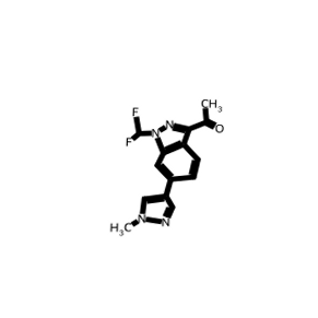 CC(=O)c1nn(C(F)F)c2cc(-c3cnn(C)c3)ccc12